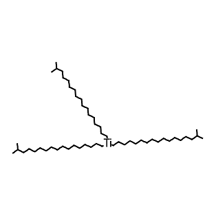 CC(C)CCCCCCCCCCCCCC[CH2][Ti]([CH2]CCCCCCCCCCCCCCC(C)C)[CH2]CCCCCCCCCCCCCCC(C)C